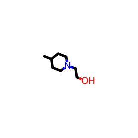 CC1CCN(CCO)CC1